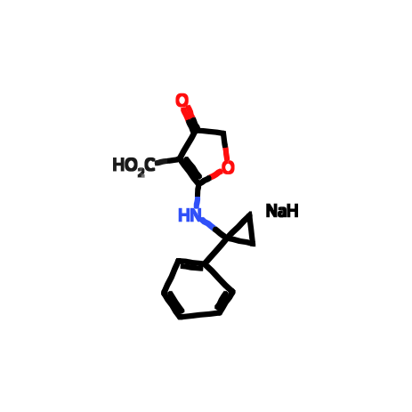 O=C(O)C1=C(NC2(c3ccccc3)CC2)OCC1=O.[NaH]